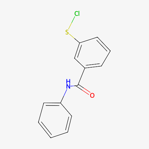 O=C(Nc1ccccc1)c1cccc(SCl)c1